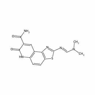 CN(C)C=Nc1nc2c(ccc3[nH]c(=O)c(C(N)=O)cc32)s1